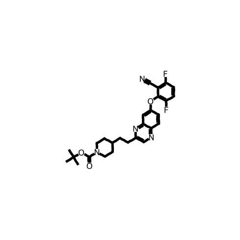 CC(C)(C)OC(=O)N1CCC(CCc2cnc3ccc(Oc4c(F)ccc(F)c4C#N)cc3n2)CC1